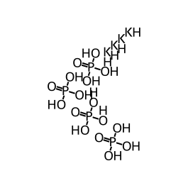 O=P(O)(O)O.O=P(O)(O)O.O=P(O)(O)O.O=P(O)(O)O.[KH].[KH].[KH].[KH]